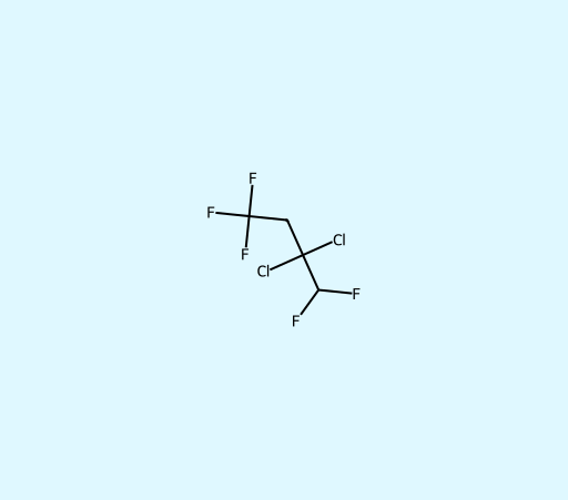 FC(F)C(Cl)(Cl)CC(F)(F)F